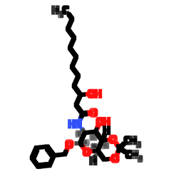 CCCCCCCCCC(O)CC(=O)N[C@H]1[C@@H](OCc2ccccc2)O[C@@H]2COC(C)(C)O[C@H]2[C@@H]1O